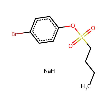 CCCCS(=O)(=O)Oc1ccc(Br)cc1.[NaH]